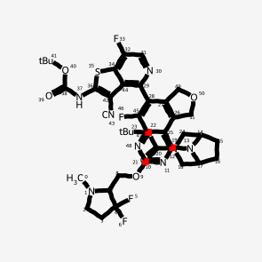 CN1CCC(F)(F)C1COc1nc(N2C3CCC2CN(C(=O)OC(C)(C)C)C3)c2c3c(c(-c4ncc(F)c5sc(NC(=O)OC(C)(C)C)c(C#N)c45)c(F)c2n1)COC3